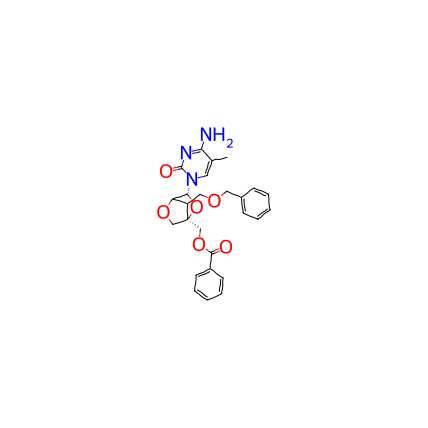 Cc1cn([C@@H]2O[C@@]3(COC(=O)c4ccccc4)COC2C3COCc2ccccc2)c(=O)nc1N